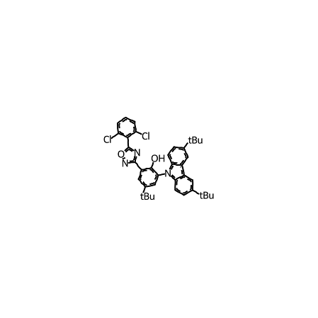 CC(C)(C)c1cc(-c2noc(-c3c(Cl)cccc3Cl)n2)c(O)c(-n2c3ccc(C(C)(C)C)cc3c3cc(C(C)(C)C)ccc32)c1